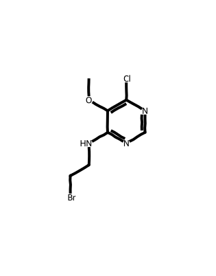 COc1c(Cl)ncnc1NCCBr